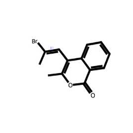 C/C(Br)=C\c1c(C)oc(=O)c2ccccc12